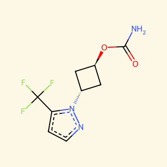 NC(=O)O[C@H]1C[C@H](n2nccc2C(F)(F)F)C1